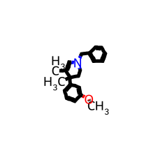 COc1cccc(C2(C)CCN(Cc3ccccc3)C=C2C)c1